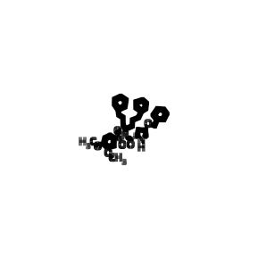 COc1ccc(S(=O)(=O)N(C(=O)[C@@H]2C[C@@H](OCc3ccccc3)CN2)C(CCCc2ccccc2)CCCc2ccccc2)cc1OC